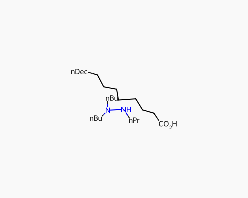 CCCCCCCCCCCCCCCCCC(=O)O.CCCCN(CCCC)NCCC